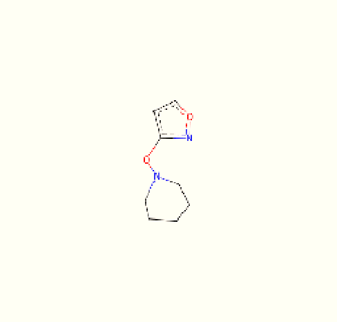 c1cc(ON2CCCCC2)no1